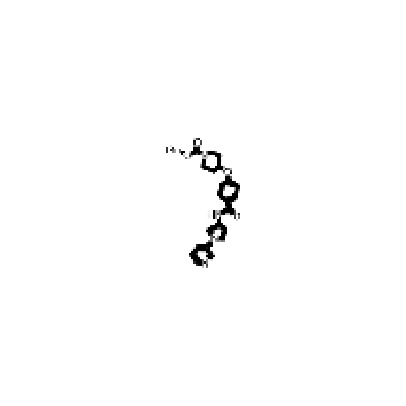 CC(C)(C)OC(=O)N1CCC(Oc2ccc(C(=O)NC3CCN(c4cccnc4)C3)cc2)CC1